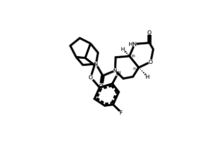 O=C1CO[C@H]2CCN(C(=O)N3CC4CCC(C3)C4COc3ccc(F)cc3Cl)C[C@H]2N1